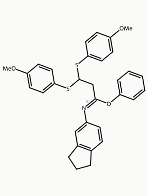 COc1ccc(SC(C/C(=N/c2ccc3c(c2)CCC3)Oc2ccccc2)Sc2ccc(OC)cc2)cc1